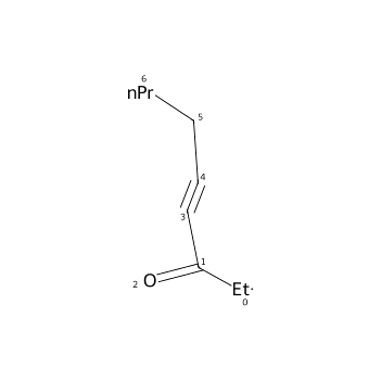 C[CH]C(=O)C#CCCCC